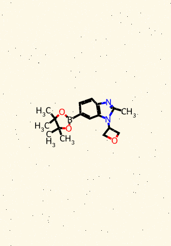 Cc1nc2ccc(B3OC(C)(C)C(C)(C)O3)cc2n1C1COC1